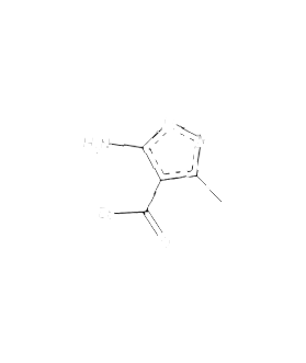 CCC(=O)c1c(C)noc1N